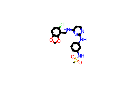 CS(=O)(=O)Nc1cccc(Nc2nccc(NCc3c(Cl)ccc4c3OCO4)n2)c1